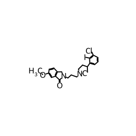 COc1ccc2c(c1)C(=O)N(CCCN1CCC(c3cccc(Cl)c3I)CC1)C2